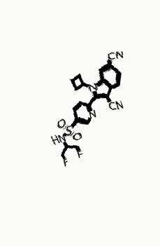 N#Cc1ccc2c(C#N)c(-c3ccc(S(=O)(=O)NC(CF)CF)cn3)n(C3CCC3)c2c1